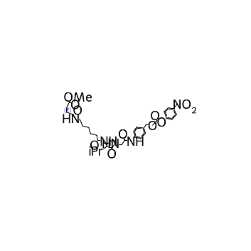 COC(=O)/C=C\C(=O)NCCCCCC(=O)NC(C(=O)NCC(=O)Nc1ccc(COC(=O)Oc2ccc([N+](=O)[O-])cc2)cc1)C(C)C